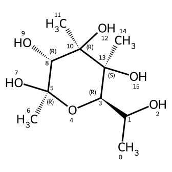 CC(O)[C@H]1O[C@@](C)(O)[C@H](O)[C@@](C)(O)[C@@]1(C)O